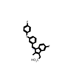 CC1=C(CC(=O)O)c2cc(F)ccc2/C1=C\c1cccc(Sc2ccc(F)cc2)c1